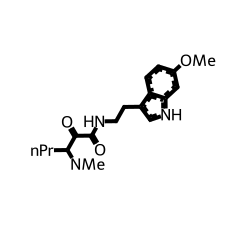 CCCC(NC)C(=O)C(=O)NCCc1c[nH]c2cc(OC)ccc12